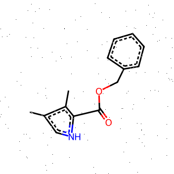 Cc1c[nH]c(C(=O)OCc2ccccc2)c1C